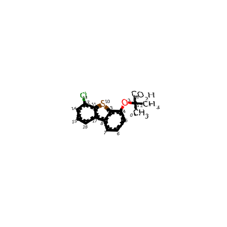 CC(C)(Oc1cccc2c1sc1c(Cl)cccc12)C(=O)O